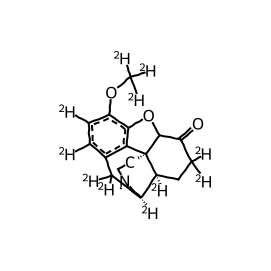 [2H]c1c([2H])c2c3c(c1OC([2H])([2H])[2H])OC1C(=O)C([2H])([2H])C[C@]4([2H])[C@@]31CCN(C)[C@]4([2H])C2([2H])[2H]